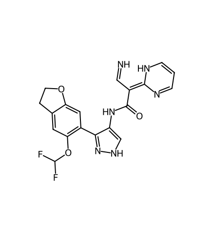 N=C/C(C(=O)Nc1c[nH]nc1-c1cc2c(cc1OC(F)F)CCO2)=C1/N=CC=CN1